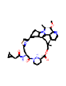 CCn1c(-c2cccnc2[C@H](C)OC)c2c3cc(ccc31)-c1csc(n1)C[C@H](NC(=O)CC1CC1)C(=O)N1CCC[C@H](N1)C(=O)OCC(C)(C)C2